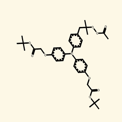 CC(=O)OOC(C)(C)Cc1ccc([S+](c2ccc(OCC(=O)OC(C)(C)C)cc2)c2ccc(OCC(=O)OC(C)(C)C)cc2)cc1